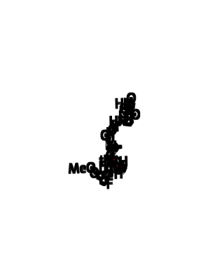 C#Cc1c(F)ccc2cc(OCOC)cc(-c3ncc4c(N5C[C@H]6CC[C@@H](C5)N6C(=O)OC(C)(C)C)nc(OC[C@@]56CC[C@@H](COC(=O)N7CCN(CCNc8cccc9c8C(=O)N(C8CCC(=O)NC8=O)C9=O)CC7)N5CC(=C)C6)nc4c3F)c12